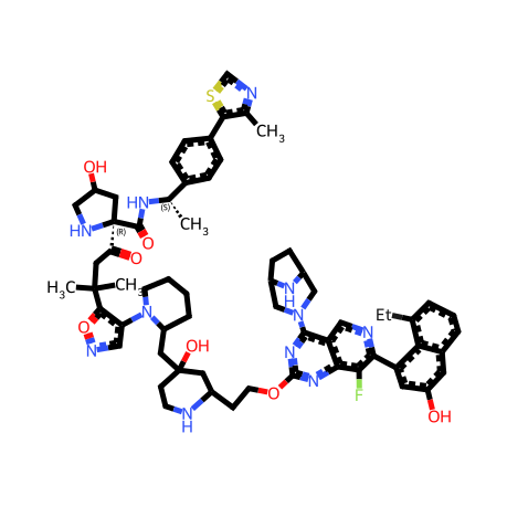 CCc1cccc2cc(O)cc(-c3ncc4c(N5CC6CCC(C5)N6)nc(OCCC5CC(O)(CC6CCCCN6c6cnoc6C(C)(C)CC(=O)[C@@]6(C(=O)N[C@@H](C)c7ccc(-c8scnc8C)cc7)CC(O)CN6)CCN5)nc4c3F)c12